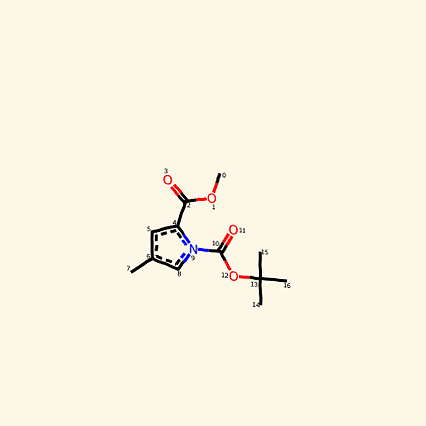 COC(=O)c1cc(C)cn1C(=O)OC(C)(C)C